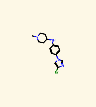 CN1CCC(Nc2ccc(-n3cnc(Br)c3)cc2)CC1